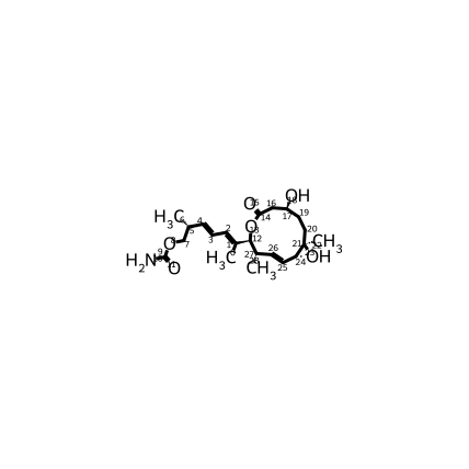 C/C(=C\C=C\[C@@H](C)COC(N)=O)[C@H]1OC(=O)C[C@@H](O)CC[C@@](C)(O)[CH]/C=C/[C@@H]1C